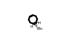 CC(C)(C)N1[C@@H]2CC/C=C\CC[C@@H]21